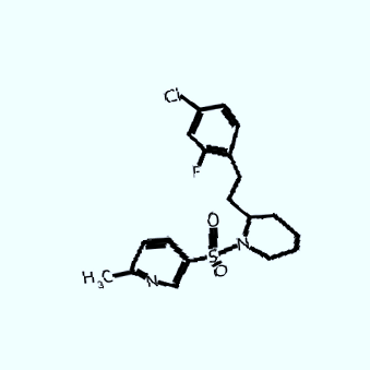 Cc1ccc(S(=O)(=O)N2CCCCC2CCc2ccc(Cl)cc2F)cn1